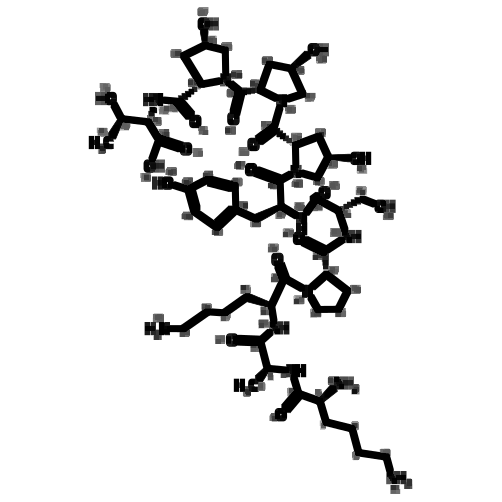 C[C@H](NC(=O)[C@@H](N)CCCCN)C(=O)N[C@@H](CCCCN)C(=O)N1CCC[C@H]1C(=O)N[C@@H](CO)C(=O)N[C@@H](Cc1ccc(O)cc1)C(=O)N1C[C@H](O)C[C@H]1C(=O)N1C[C@H](O)C[C@H]1C(=O)N1C[C@H](O)C[C@H]1C(=O)N[C@H](C(=O)O)[C@@H](C)O